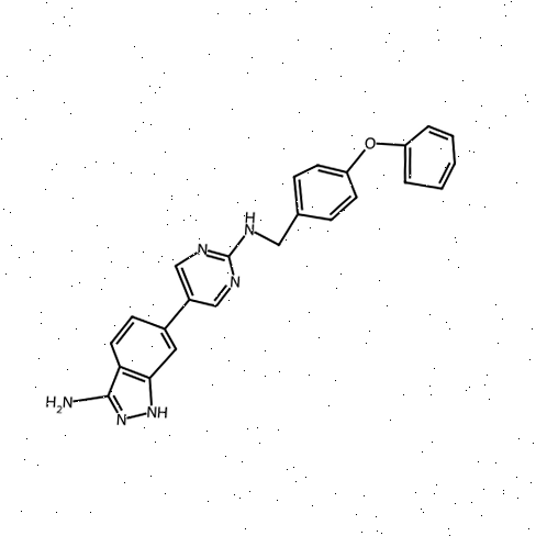 Nc1n[nH]c2cc(-c3cnc(NCc4ccc(Oc5ccccc5)cc4)nc3)ccc12